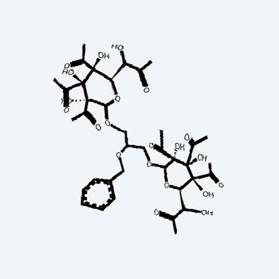 CC(=O)C(O)[C@H]1OC(OCC(COC2O[C@H](C(O)C(C)=O)[C@@](O)(C(C)=O)[C@@](O)(C(C)=O)[C@]2(O)C(C)=O)OCc2ccccc2)[C@@](O)(C(C)=O)[C@](O)(C(C)=O)[C@]1(O)C(C)=O